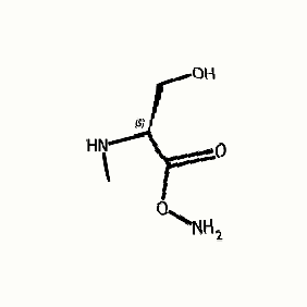 CN[C@@H](CO)C(=O)ON